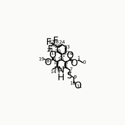 CCOC(=O)C1=C(CSCC=O)NC(C)=C(C(=O)OC)C1c1cccc(C(F)(F)F)c1